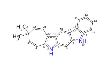 CC1(C)C=Cc2[nH]c3cc4[nH]c5ccccc5c4cc3c2C=C1